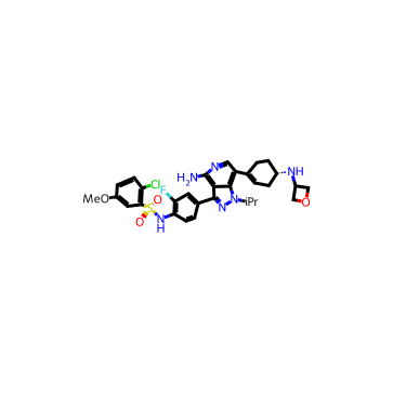 COc1ccc(Cl)c(S(=O)(=O)Nc2ccc(-c3nn(C(C)C)c4c(C5=CC[C@@H](NC6COC6)CC5)cnc(N)c34)cc2F)c1